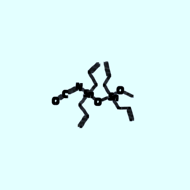 C=C[CH2][Sn]([CH2]C=C)([N]=C=O)[O][Sn]([CH2]C=C)([CH2]C=C)[O]C